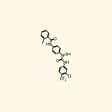 O=C(Nc1ccc(N(S)C(=O)Nc2ccc(C(F)(F)F)c(Cl)c2)cc1)c1ccccc1F